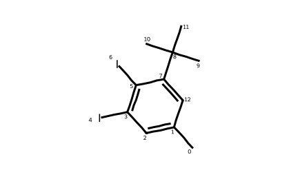 Cc1cc(I)c(I)c(C(C)(C)C)c1